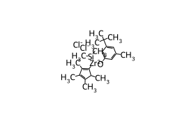 CC1=C(C)C(C)[C]([Zr+2]([O]c2cc(C)cc(C(C)(C)C)c2)=[Si](C)C)=C1C.[Cl-].[Cl-]